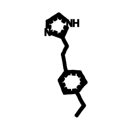 CCc1ccc(CCc2ncc[nH]2)cc1